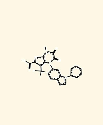 Cn1c(=O)c(=O)n(-c2ccc3ccn(-c4ccccc4)c3c2)c2c(C(F)(F)F)c(C(=O)O)sc21